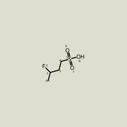 [CH2]C(F)CCS(=O)(=O)O